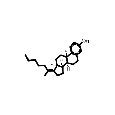 CCCCCC(C)=C1CC[C@H]2[C@@H]3CCc4cc(O)ccc4[C@H]3CC[C@]12C